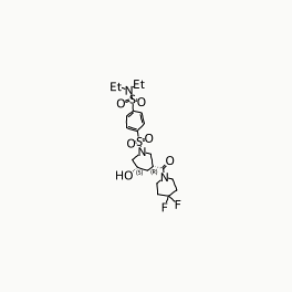 CCN(CC)S(=O)(=O)c1ccc(S(=O)(=O)N2C[C@@H](O)C[C@@H](C(=O)N3CCC(F)(F)CC3)C2)cc1